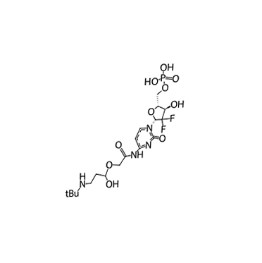 CC(C)(C)NCCC(O)OCC(=O)Nc1ccn([C@@H]2O[C@H](COP(=O)(O)O)[C@@H](O)C2(F)F)c(=O)n1